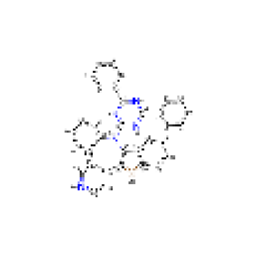 c1ccc(-c2nc(-c3ccccc3)nc(N3c4ccccc4-c4cnccc4-c4sc5ccccc5c43)n2)cc1